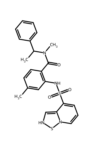 Cc1ccc(C(=O)N(C)C(C)c2ccccc2)c(NS(=O)(=O)C2=CC=CN3SNC=C23)c1